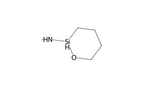 [NH][SiH]1CCCCO1